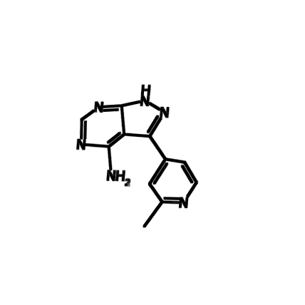 Cc1cc(-c2n[nH]c3ncnc(N)c23)ccn1